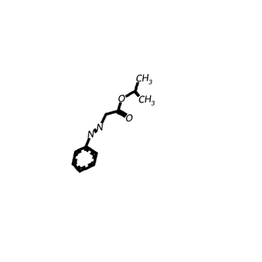 CC(C)OC(=O)CN=Nc1ccccc1